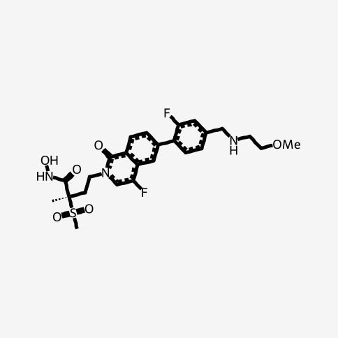 COCCNCc1ccc(-c2ccc3c(=O)n(CC[C@](C)(C(=O)NO)S(C)(=O)=O)cc(F)c3c2)c(F)c1